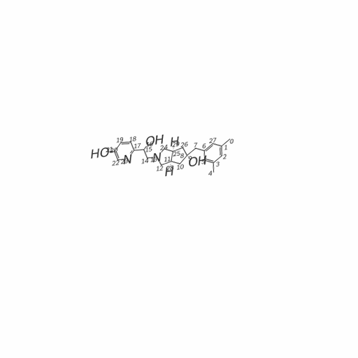 Cc1cc(C)cc(C[C@@]2(O)C[C@H]3CN(CC(O)c4ccc(O)cn4)C[C@H]3C2)c1